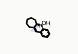 O/N=C1\CCCCC\C1=C\c1ccccc1